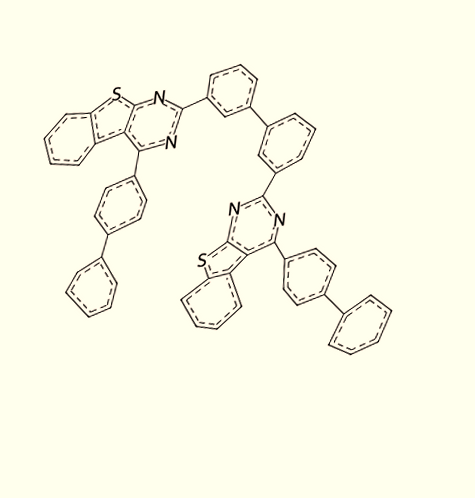 c1ccc(-c2ccc(-c3nc(-c4cccc(-c5cccc(-c6nc(-c7ccc(-c8ccccc8)cc7)c7c(n6)sc6ccccc67)c5)c4)nc4sc5ccccc5c34)cc2)cc1